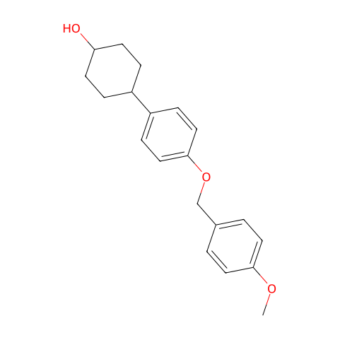 COc1ccc(COc2ccc(C3CCC(O)CC3)cc2)cc1